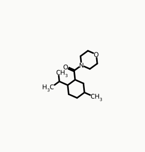 CC1CCC(C(C)C)C(C(=O)N2CCOCC2)C1